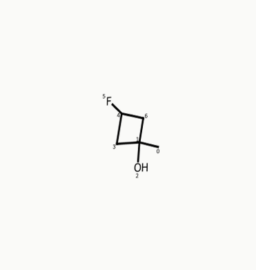 CC1(O)CC(F)C1